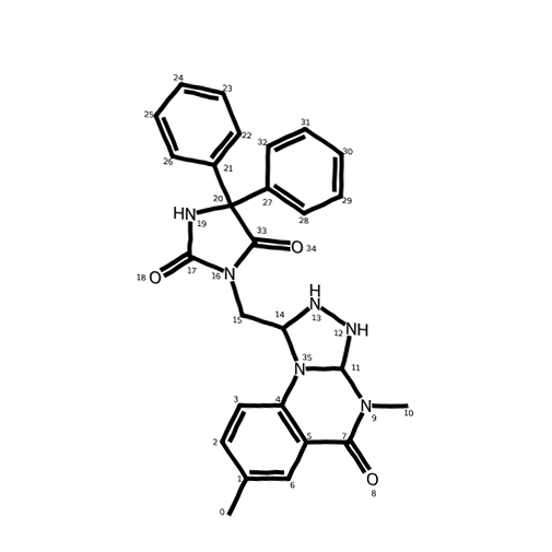 Cc1ccc2c(c1)C(=O)N(C)C1NNC(CN3C(=O)NC(c4ccccc4)(c4ccccc4)C3=O)N21